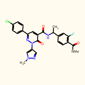 CNC(=O)c1ccc(C(C)NC(=O)c2cc(-c3ccc(Cl)cc3)nn(-c3cnn(C)c3)c2=O)cc1F